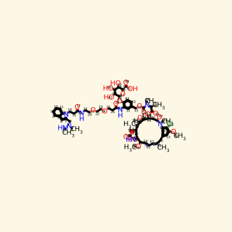 CNN(C)Cc1cc2ccccc2n1CCC(=O)NCCOCCOCCC(=O)Nc1cc(COC(=O)N(C)[C@@H](C)C(=O)O[C@H]2CC(=O)N(C)c3cc(cc(OC)c3Cl)C/C(C)=C/C=C/[C@@H](OC)[C@@]3(O)C[C@H](OC(=O)N3)[C@@H](C)[C@@H]3O[C@@]23C)ccc1OC1O[C@H](C(=O)O)[C@@H](O)[C@H](O)[C@H]1O